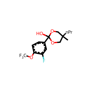 CCCC1(C)COC(O)(c2ccc(OC(F)(F)F)c(F)c2)OC1